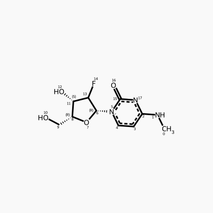 CNc1ccn([C@@H]2O[C@H](CO)[C@H](O)C2F)c(=O)n1